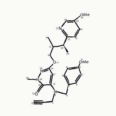 C#CCN(Cc1ccc(OC)cc1)c1cc(OCC(C)[C@H](C)c2ccc(OC)cn2)nn(C)c1=O